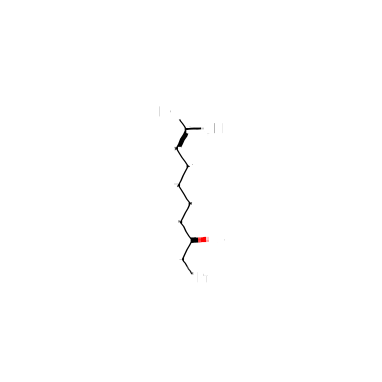 CC(C)=CCCCCC(=O)CC(C)C